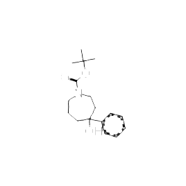 CC(C)(C)OC(=O)N1CCCC(O)(c2ccccc2)CC1